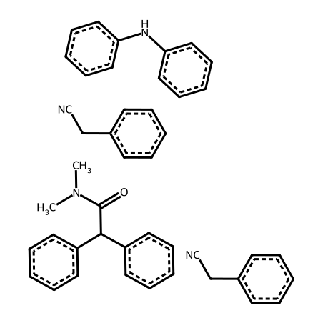 CN(C)C(=O)C(c1ccccc1)c1ccccc1.N#CCc1ccccc1.N#CCc1ccccc1.c1ccc(Nc2ccccc2)cc1